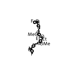 CCC(C(=O)C(CC)c1ccc(OCCCN2CCC(c3noc4cc(F)ccc34)CC2)c(OC)c1)c1ccc(OCCCN2CCC(c3noc4cc(F)ccc34)CC2)c(OC)c1